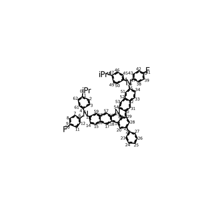 CC(C)c1ccc(N(c2ccc(F)cc2)c2ccc3cc4c5cc(-c6ccccc6)cc6c7cc8ccc(N(c9ccc(F)cc9)c9ccc(C(C)C)cc9)cc8cc7n(c4cc3c2)c56)cc1